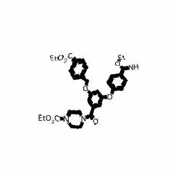 CCOC(=N)c1ccc(Oc2cc(OCc3ccc(C(=O)OCC)cc3)cc(C(=O)N3CCN(C(=O)OCC)CC3)c2)cc1